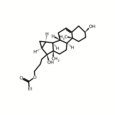 CCC(=O)OCCC[C@]1(O)[C@H]2C[C@H]2[C@H]2[C@@H]3CC=C4C[C@@H](O)CC[C@]4(C)[C@H]3CC[C@@]21C